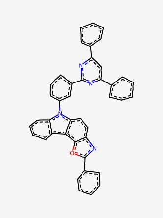 c1ccc(-c2cc(-c3ccccc3)nc(-c3cccc(-n4c5ccccc5c5c6oc(-c7ccccc7)nc6ccc54)c3)n2)cc1